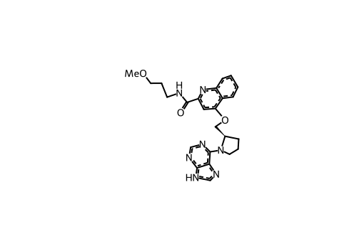 COCCCNC(=O)c1cc(OC[C@H]2CCCN2c2ncnc3[nH]cnc23)c2ccccc2n1